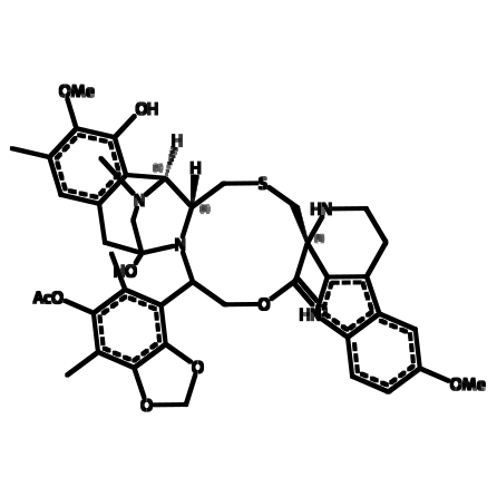 COc1ccc2[nH]c3c(c2c1)CCN[C@]31CSC[C@H]2[C@@H]3c4c(cc(C)c(OC)c4O)CC(O)(CN3C)N2C(c2c(C)c(OC(C)=O)c(C)c3c2OCO3)COC1=O